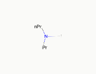 [C]N(CCC)C(C)C